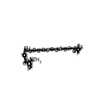 CCC(N)C1=Nc2ccsc2C=C(C(=O)NCc2ccc(CN(C)CCOCCOCCOCCOCCOCCOCCOCCOCCOCCOCCC(=O)Oc3c(F)c(F)cc(F)c3F)cc2)C1